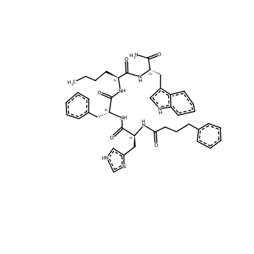 CCCC[C@H](NC(=O)[C@@H](Cc1ccccc1)NC(=O)[C@H](Cc1c[nH]cn1)NC(=O)CCCc1ccccc1)C(=O)N[C@@H](Cc1c[nH]c2ccccc12)C(N)=O